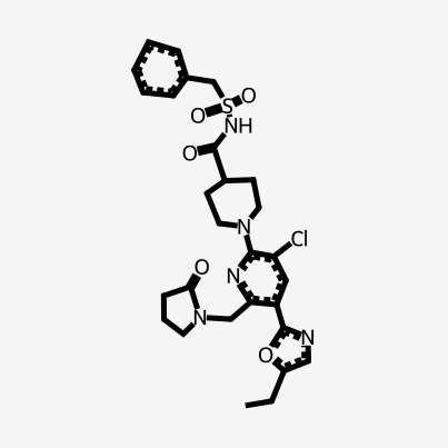 CCc1cnc(-c2cc(Cl)c(N3CCC(C(=O)NS(=O)(=O)Cc4ccccc4)CC3)nc2CN2CCCC2=O)o1